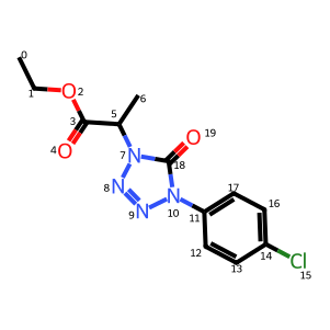 CCOC(=O)C(C)n1nnn(-c2ccc(Cl)cc2)c1=O